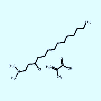 C=C(C)C(=O)O.CCCCCCCCCCCC(Cl)CCN(C)C